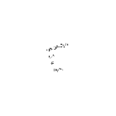 [Dy+3].[Dy+3].[F].[O-2].[O-2].[O-2]